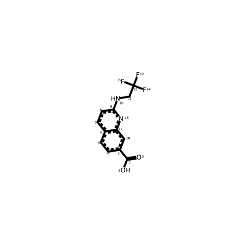 O=C(O)c1ccc2ccc(NCC(F)(F)F)nc2c1